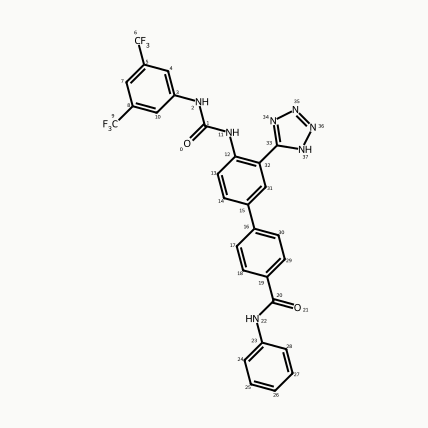 O=C(Nc1cc(C(F)(F)F)cc(C(F)(F)F)c1)Nc1ccc(-c2ccc(C(=O)Nc3ccccc3)cc2)cc1-c1nnn[nH]1